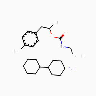 C1CCC(C2CCCCC2)CC1.Cc1ccc(CC(C)OC(=O)NCC(=O)O)cc1.N